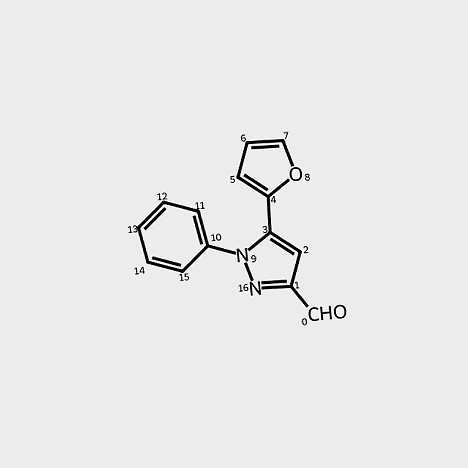 O=Cc1cc(-c2ccco2)n(-c2ccccc2)n1